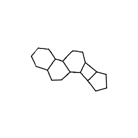 C1CCC2C(C1)CCC1C2CCC2C3CCCC3C12